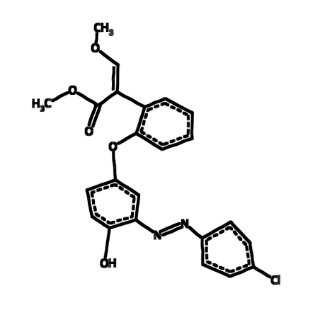 COC=C(C(=O)OC)c1ccccc1Oc1ccc(O)c(N=Nc2ccc(Cl)cc2)c1